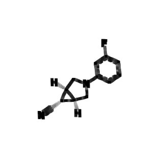 N#C[C@@H]1[C@H]2CN(c3cccc(F)c3)C[C@@H]12